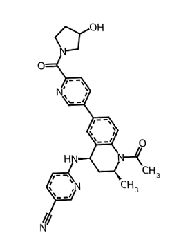 CC(=O)N1c2ccc(-c3ccc(C(=O)N4CCC(O)C4)nc3)cc2[C@H](Nc2ccc(C#N)cn2)C[C@@H]1C